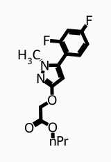 CCCOC(=O)COc1cc(-c2ccc(F)cc2F)n(C)n1